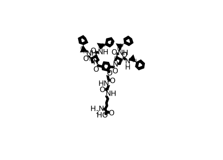 N[C@@H](CCCCNC(=O)CNC(=O)COc1cc(C(=O)N2C[C@@H](C(=O)N[C@H]3C[C@@H]3c3ccccc3)[C@H](C(=O)N[C@H]3C[C@@H]3c3ccccc3)C2)ccc1C(=O)N1C[C@@H](C(=O)N[C@H]2C[C@@H]2c2ccccc2)[C@H](C(=O)N[C@H]2C[C@@H]2c2ccccc2)C1)C(=O)O